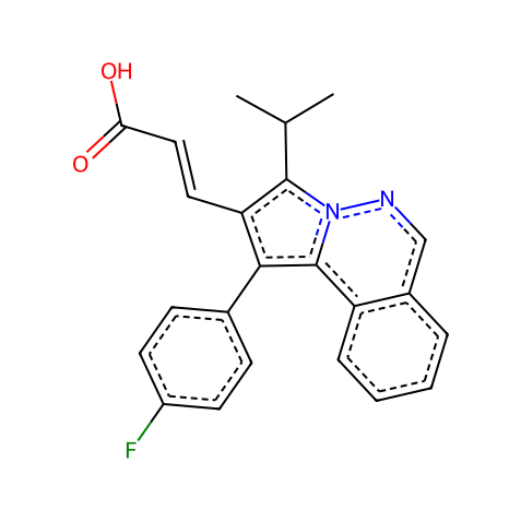 CC(C)c1c(C=CC(=O)O)c(-c2ccc(F)cc2)c2c3ccccc3cnn12